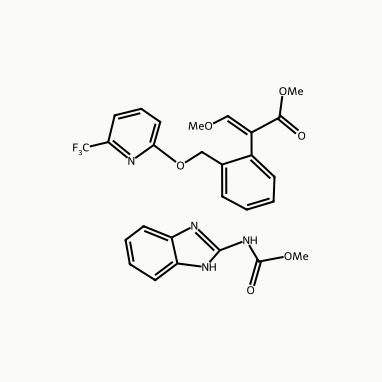 CO/C=C(/C(=O)OC)c1ccccc1COc1cccc(C(F)(F)F)n1.COC(=O)Nc1nc2ccccc2[nH]1